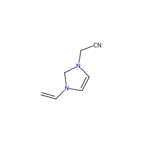 C=CN1C=CN(CC#N)C1